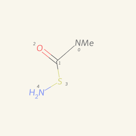 CNC(=O)SN